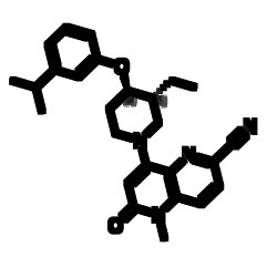 CC[C@@H]1CN(c2cc(=O)n(C)c3ccc(C#N)nc23)CC[C@H]1Oc1cccc(C(C)C)c1